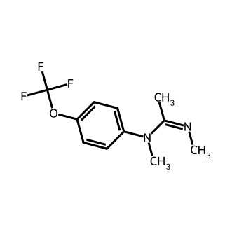 C/N=C(/C)N(C)c1ccc(OC(F)(F)F)cc1